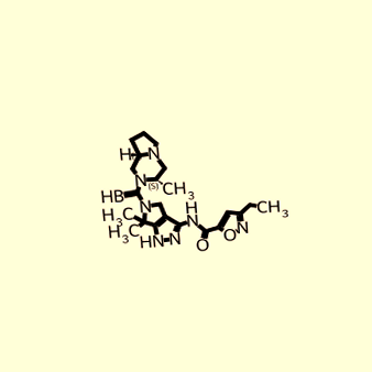 B=C(N1C[C@@H]2CCCN2C[C@@H]1C)N1Cc2c(NC(=O)c3cc(CC)no3)n[nH]c2C1(C)C